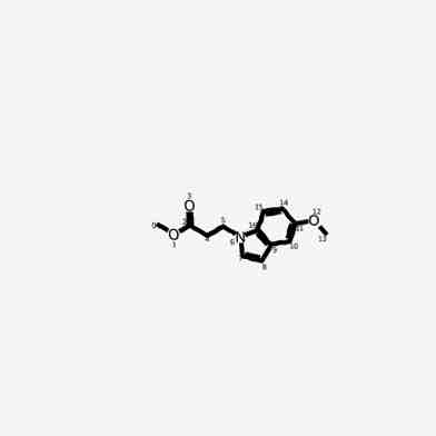 COC(=O)CCn1ccc2cc(OC)ccc21